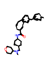 Cc1ccc(-c2ccc3c(c2)C=C(C(=O)NC2CCC(CN(C)C4CCOCC4)CC2)CCC3)cc1